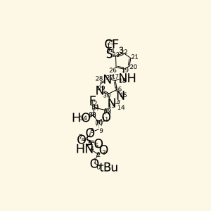 CC(C)(C)OC(=O)NS(=O)(=O)OC[C@H]1O[C@@H](n2cnc3c(Nc4cccc(SC(F)(F)F)c4)ncnc32)[C@@H](F)[C@@H]1O